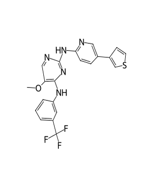 COc1cnc(Nc2ccc(-c3ccsc3)cn2)nc1Nc1cccc(C(F)(F)F)c1